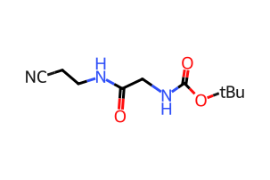 CC(C)(C)OC(=O)NCC(=O)NCCC#N